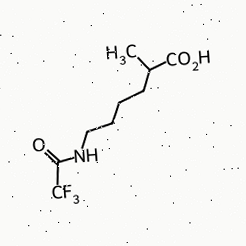 CC(CCCCNC(=O)C(F)(F)F)C(=O)O